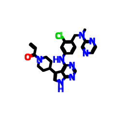 C=CC(=O)N1CCC(c2c[nH]c3ncnc(Nc4ccc(CN(C)c5cnccn5)c(Cl)c4)c23)CC1